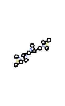 c1ccc(N(c2ccc(-c3ccc4c5cc6c(cc5n5c7ccccc7c3c45)c3ccc(N(c4ccccc4)c4cccc5c4sc4ccccc45)c4c5ccccc5n6c34)cc2)c2cccc3c2sc2ccccc23)cc1